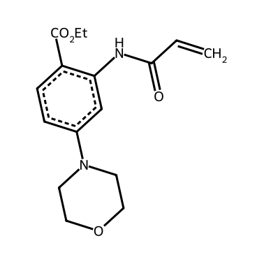 C=CC(=O)Nc1cc(N2CCOCC2)ccc1C(=O)OCC